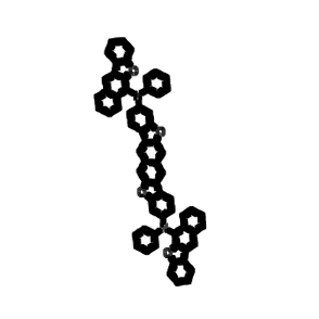 c1ccc(N(c2ccc3c(c2)oc2cc4cc5c(cc4cc23)oc2cc(N(c3ccccc3)c3c4ccccc4cc4c3oc3ccccc34)ccc25)c2c3ccccc3cc3c2oc2ccccc23)cc1